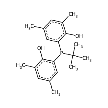 Cc1cc(C)c(O)c(P(c2cc(C)cc(C)c2O)C(C)(C)C)c1